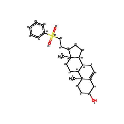 CC12CCC(O)CC1=CCC1C2CCC2(C)C(CCS(=O)(=O)c3ccccc3)CCC12